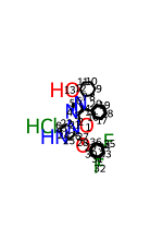 Cl.O=C(c1ncn([C@H]2CCCC[C@H]2O)c1-c1ccccc1)N1CCNC[C@H]1COc1cc(F)cc(F)c1